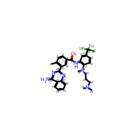 Cc1ccc(C(=O)Nc2cc(C(F)(F)F)ccc2N(C)CCCN(C)C)cc1-c1nc(N)c2ccccc2n1